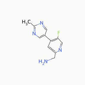 Cc1ncc(-c2cc(CN)ncc2F)cn1